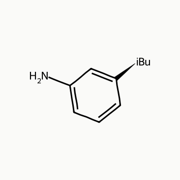 CC[C@H](C)c1cccc(N)c1